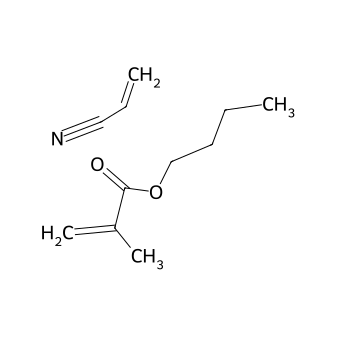 C=C(C)C(=O)OCCCC.C=CC#N